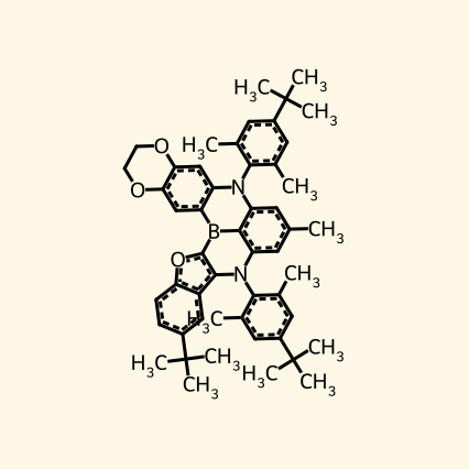 Cc1cc2c3c(c1)N(c1c(C)cc(C(C)(C)C)cc1C)c1c(oc4ccc(C(C)(C)C)cc14)B3c1cc3c(cc1N2c1c(C)cc(C(C)(C)C)cc1C)OCCO3